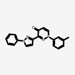 Cc1cccc(-n2ccc(=O)c(-c3ccn(-c4ccccc4)n3)n2)c1